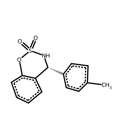 Cc1ccc([C@H]2NS(=O)(=O)Oc3ccccc32)cc1